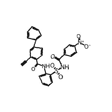 C#Cc1cc(-c2ccccc2)ccc1C(=O)Nc1ccccc1S(=O)(=O)NC(=O)c1ccc([N+](=O)[O-])cc1